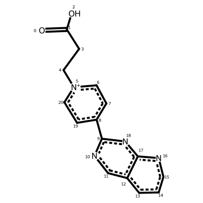 O=C(O)CC[n+]1ccc(-c2ncc3cccnc3n2)cc1